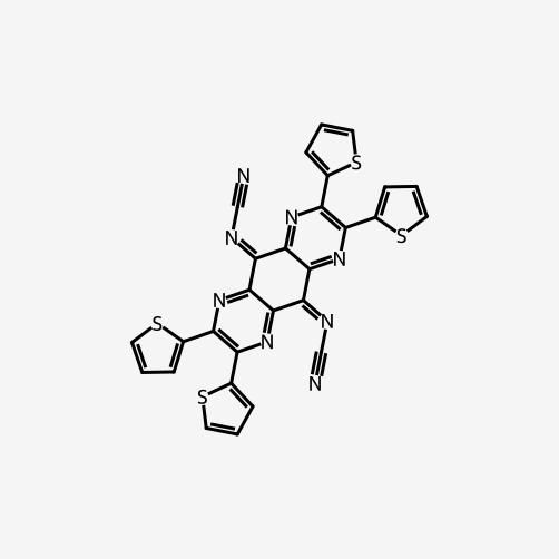 N#CN=C1c2nc(-c3cccs3)c(-c3cccs3)nc2C(=NC#N)c2nc(-c3cccs3)c(-c3cccs3)nc21